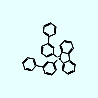 c1ccc(-c2cccc([Si]3(c4cccc(-c5ccccc5)c4)c4ccccc4-c4ccccc43)c2)cc1